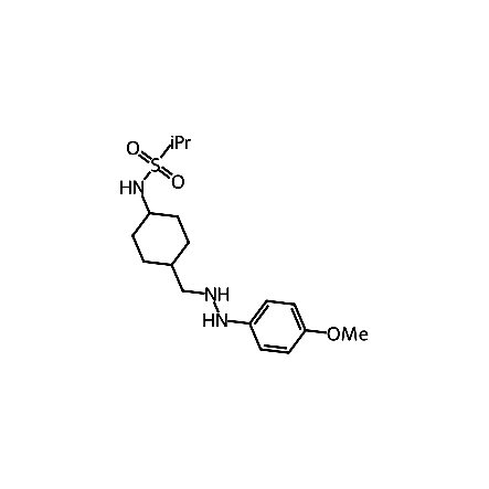 COc1ccc(NNCC2CCC(NS(=O)(=O)C(C)C)CC2)cc1